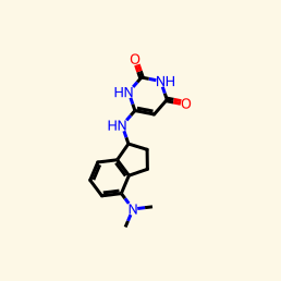 CN(C)c1cccc2c1CCC2Nc1cc(=O)[nH]c(=O)[nH]1